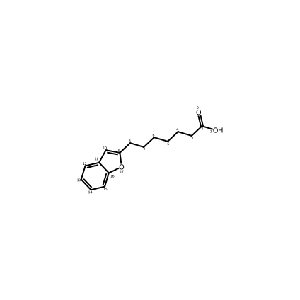 O=C(O)CCCCCCc1cc2ccccc2o1